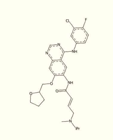 CC(C)N(C)CC=CC(=O)Nc1cc2c(Nc3ccc(F)c(Cl)c3)ncnc2cc1OCC1CCCO1